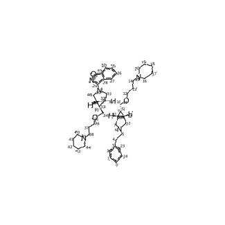 c1ccc(CCN2C[C@@H]3[C@H](COCCCN4CCCCC4)[C@@H]3C2)cc1.c1ccc2c(N3C[C@@H]4[C@@H](COCCCN5CCCCC5)[C@@H]4C3)noc2c1